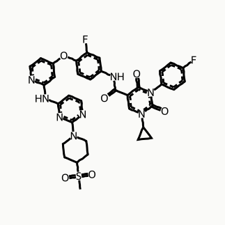 CS(=O)(=O)C1CCN(c2nccc(Nc3cc(Oc4ccc(NC(=O)c5cn(C6CC6)c(=O)n(-c6ccc(F)cc6)c5=O)cc4F)ccn3)n2)CC1